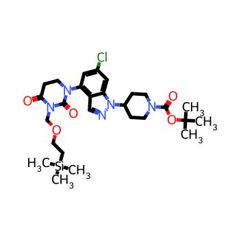 CC(C)(C)OC(=O)N1CCC(n2ncc3c(N4CCC(=O)N(COCC[Si](C)(C)C)C4=O)cc(Cl)cc32)CC1